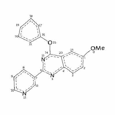 COc1ccc2nc(-c3cccnc3)nc(Oc3ccccc3)c2c1